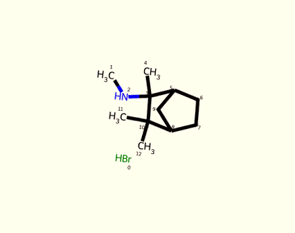 Br.CNC1(C)C2CCC(C2)C1(C)C